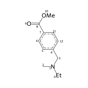 CCN(C)Cc1ccc(C(=O)OC)cc1